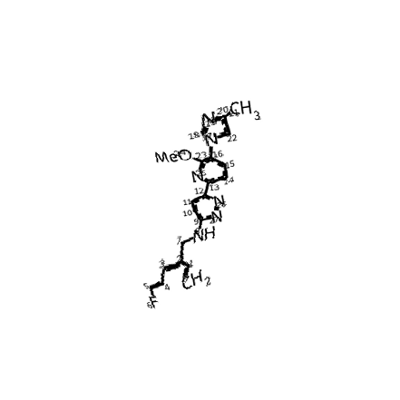 C=C/C(=C\C=C\F)CNc1ccc(-c2ccc(-n3cnc(C)c3)c(OC)n2)nn1